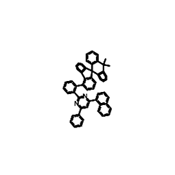 CC1(C)c2ccccc2C2(c3ccccc3-c3c(-c4ccccc4-c4nc(-c5ccccc5)cc(-c5cccc6ccccc56)n4)cccc32)c2ccccc21